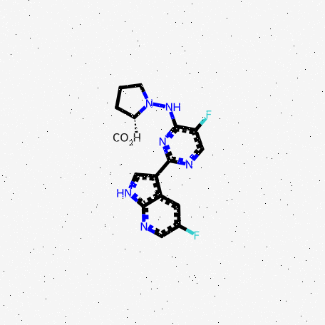 O=C(O)[C@@H]1CCCN1Nc1nc(-c2c[nH]c3ncc(F)cc23)ncc1F